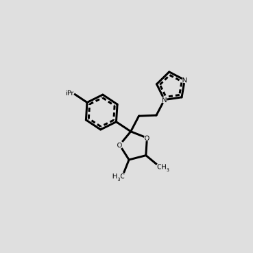 CC(C)c1ccc(C2(CCn3ccnc3)OC(C)C(C)O2)cc1